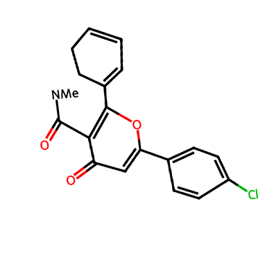 CNC(=O)c1c(C2=CC=CCC2)oc(-c2ccc(Cl)cc2)cc1=O